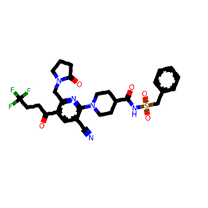 N#Cc1cc(C(=O)CCC(F)(F)F)c(CN2CCCC2=O)nc1N1CCC(C(=O)NS(=O)(=O)Cc2ccccc2)CC1